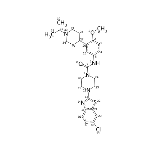 COc1ccc(NC(=O)N2CCN(c3nc4ccc(Cl)cc4s3)CC2)cc1C1CCN(C(C)C)CC1